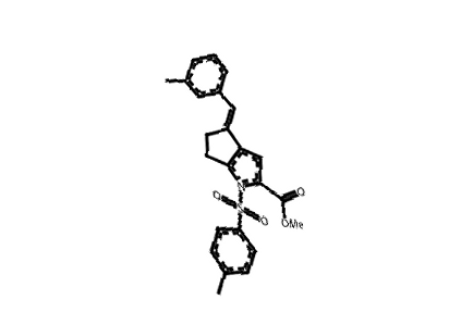 COC(=O)c1cc2c(n1S(=O)(=O)c1ccc(C)cc1)CC/C2=C\c1cccc(C)c1